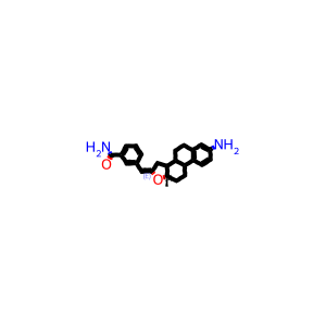 C[C@]12CCC3c4ccc(N)cc4CCC3C1C/C(=C\c1cccc(C(N)=O)c1)O2